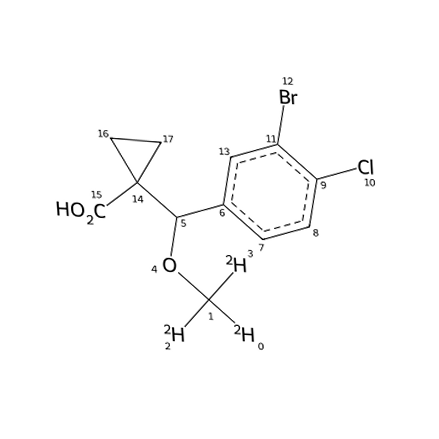 [2H]C([2H])([2H])OC(c1ccc(Cl)c(Br)c1)C1(C(=O)O)CC1